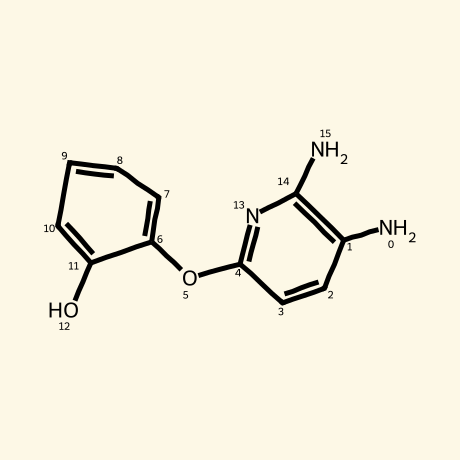 Nc1ccc(Oc2ccccc2O)nc1N